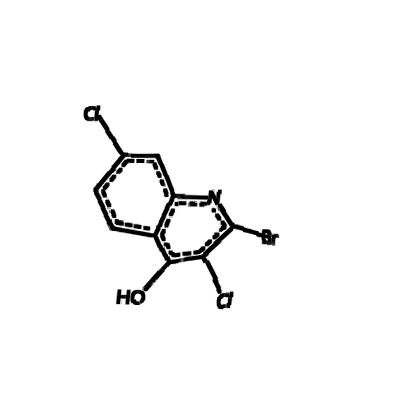 Oc1c(Cl)c(Br)nc2cc(Cl)ccc12